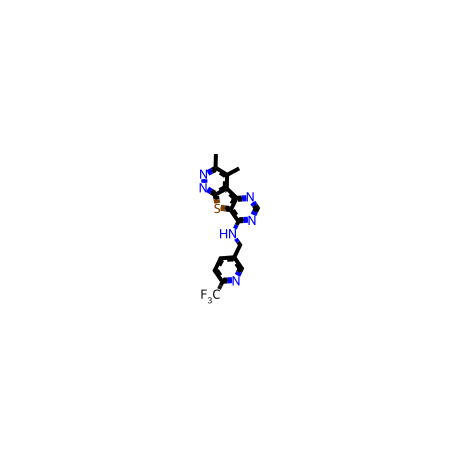 Cc1nnc2sc3c(NCc4ccc(C(F)(F)F)nc4)ncnc3c2c1C